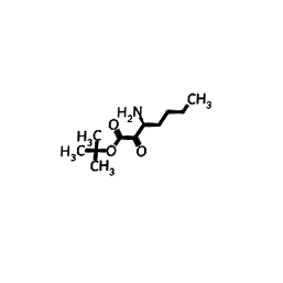 CCCC[C@H](N)C(=O)C(=O)OC(C)(C)C